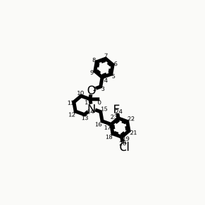 CC1(OCc2ccccc2)CCCCN1CCc1cc(Cl)ccc1F